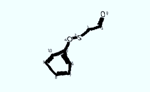 O=[C]CSOc1ccccc1